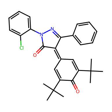 CC(C)(C)C1=CC(=C2C(=O)N(c3ccccc3Cl)N=C2c2ccccc2)C=C(C(C)(C)C)C1=O